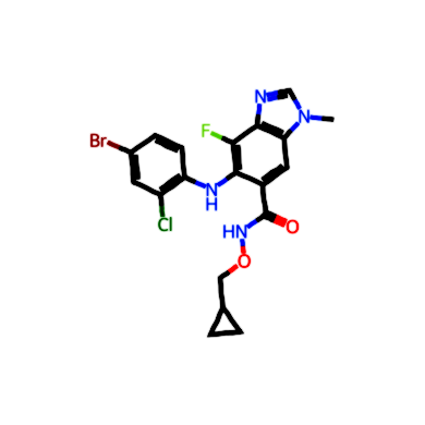 Cn1cnc2c(F)c(Nc3ccc(Br)cc3Cl)c(C(=O)NOCC3CC3)cc21